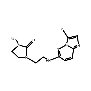 CC(C)(C)N1CCN(CCNc2ccc3ncc(Br)n3n2)C1=O